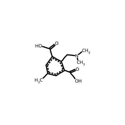 Cc1cc(C(=O)O)c(CN(C)C)c(C(=O)O)c1